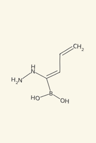 C=C/C=C(\NN)B(O)O